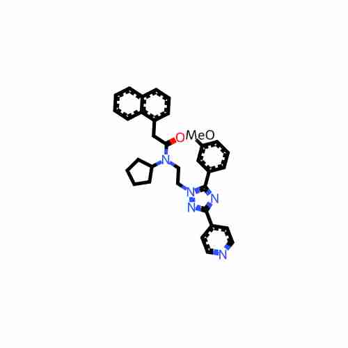 COc1cccc(-c2nc(-c3ccncc3)nn2CCN(C(=O)Cc2cccc3ccccc23)C2CCCC2)c1